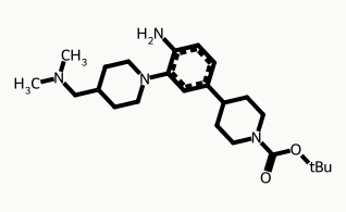 CN(C)CC1CCN(c2cc(C3CCN(C(=O)OC(C)(C)C)CC3)ccc2N)CC1